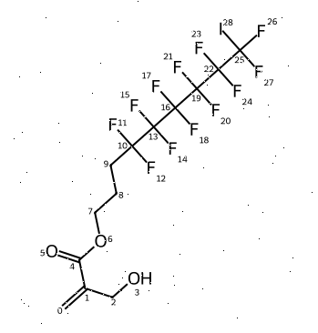 C=C(CO)C(=O)OCCCC(F)(F)C(F)(F)C(F)(F)C(F)(F)C(F)(F)C(F)(F)I